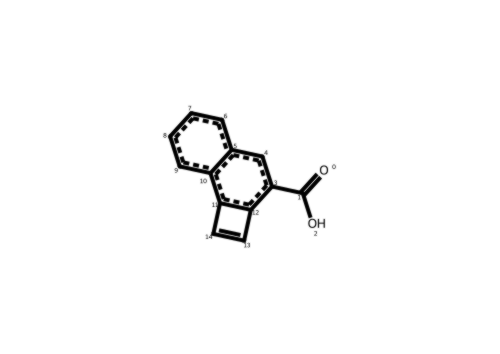 O=C(O)c1cc2ccccc2c2c1C=C2